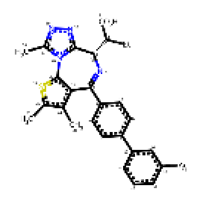 CCC(C(=O)O)[C@@H]1N=C(c2ccc(-c3cccc(C(C)=O)c3)cc2)c2c(sc(C)c2C)-n2c(C)nnc21